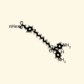 CCCCCCOC(=O)C=Cc1ccc(OCCCCCCCCCCCOC(=O)C(Cc2ccc(N)cc2)(Cc2ccc(N)cc2)C(=O)O)cc1